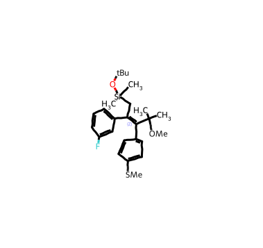 COC(C)(C)/C(=C(\C[Si](C)(C)OC(C)(C)C)c1cccc(F)c1)c1ccc(SC)cc1